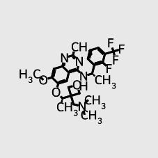 COc1cc2nc(C)nc(N[C@H](C)c3cccc(C(F)(F)F)c3F)c2cc1O[C@H](C)C1(CN(C)C)COC1